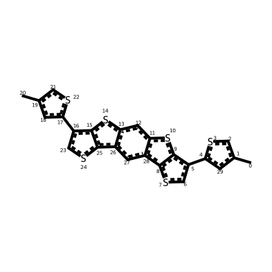 Cc1csc(-c2csc3c2sc2cc4sc5c(-c6cc(C)cs6)csc5c4cc23)c1